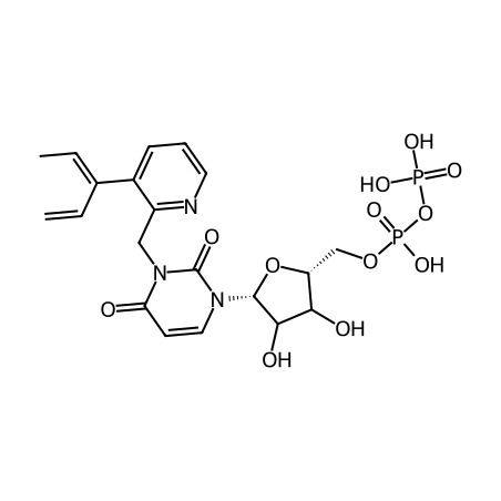 C=C/C(=C\C)c1cccnc1Cn1c(=O)ccn([C@@H]2O[C@H](COP(=O)(O)OP(=O)(O)O)C(O)C2O)c1=O